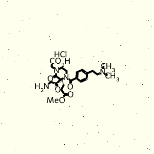 COC(=O)CC[C@]1(C(=O)CN)C(=O)N(CC(=O)O)CCN1C(=O)c1ccc(CCN(C)C)cc1.Cl